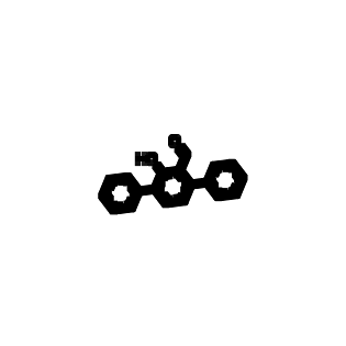 O=Cc1c(-c2ccccc2)ccc(-c2ccccc2)c1O